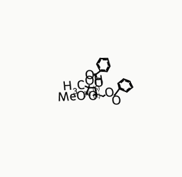 CO[C@@H]1O[C@H](COC(=O)c2ccccc2)[C@H](OC(=O)c2ccccc2)C1(C)O